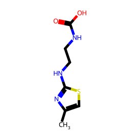 Cc1csc(NCCNC(=O)O)n1